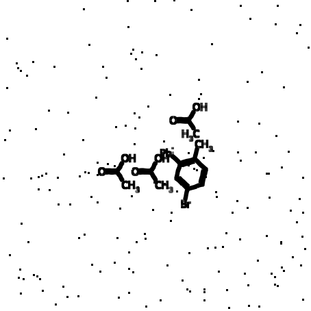 CC(=O)O.CC(=O)O.CC(=O)O.Cc1ccc(Br)c[c]1[Pb]